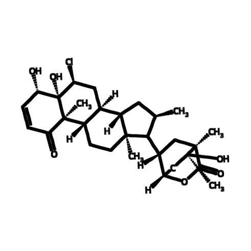 C[C@@H]1C[C@H]2[C@@H]3C[C@H](Cl)[C@]4(O)[C@@H](O)C=CC(=O)[C@]4(C)[C@H]3CC[C@]2(C)C1[C@@H]1C[C@@]2(C)C(=O)O[C@H]1C[C@]2(C)O